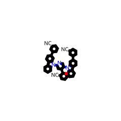 N#Cc1cccc(-c2ccc3c4ccccc4n(-c4cc(-c5ccccc5C#N)c(-n5c6ccccc6c6ccc(-c7cccc(C#N)c7)cc65)cn4)c3c2)c1